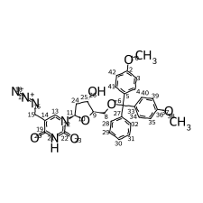 COc1ccc(C(OC[C@H]2O[C@@H](n3cc(CN=[N+]=[N-])c(=O)[nH]c3=O)C[C@@H]2O)(c2ccccc2)c2ccc(OC)cc2)cc1